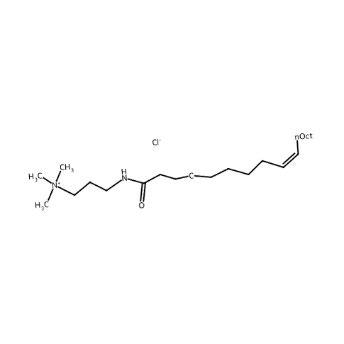 CCCCCCCC/C=C\CCCCCCCC(=O)NCCC[N+](C)(C)C.[Cl-]